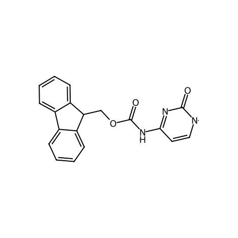 O=C1[N]C=CC(NC(=O)OCC2c3ccccc3-c3ccccc32)=N1